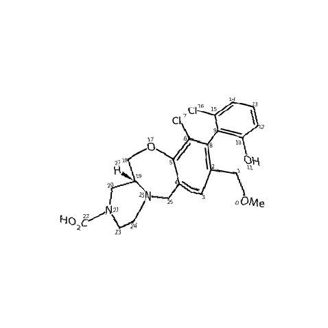 COCc1cc2c(c(Cl)c1-c1c(O)cccc1Cl)OC[C@H]1CN(C(=O)O)CCN1C2